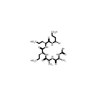 CC(=O)[C@H](CCC(=O)O)NC(=O)[C@H](CCC(=O)O)NC(=O)[C@H](CCC(=O)O)NC(=O)[C@H](C)NC(=O)[C@H](C)NC(=O)C(C)C